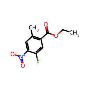 CCOC(=O)c1cc(F)c([N+](=O)[O-])cc1C